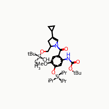 COc1cc(C(=O)N2C=C(C3CC3)CC2CO[Si](C)(C)C(C)(C)C)c(NC(=O)OC(C)(C)C)cc1O[Si](C(C)C)(C(C)C)C(C)C